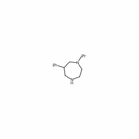 CC(C)C1CNCCN(C(C)C)C1